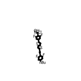 CCCCc1cc(F)c(C#Cc2cc3sc(-c4cc(F)c(/C(Cl)=N/O)c(F)c4)cc3s2)c(F)c1